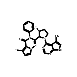 C[C@H]1CCN(c2ncnc3[nH]cc(C#N)c23)C1c1nn2ccc(Cl)c2c(=O)n1-c1ccccc1